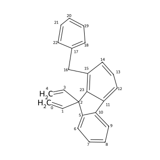 C=CC1(C=C)c2ccccc2-c2cccc(Cc3ccccc3)c21